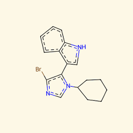 Brc1ncn(C2CCCCC2)c1-c1c[nH]c2ccccc12